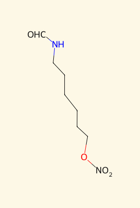 O=CNCCCCCCO[N+](=O)[O-]